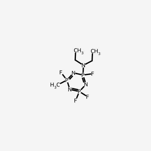 CCN(CC)P1(F)=NP(F)(F)=NP(C)(F)=N1